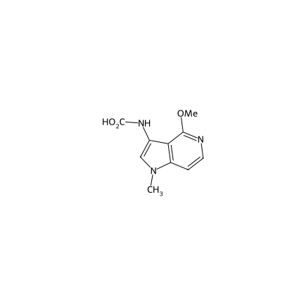 COc1nccc2c1c(NC(=O)O)cn2C